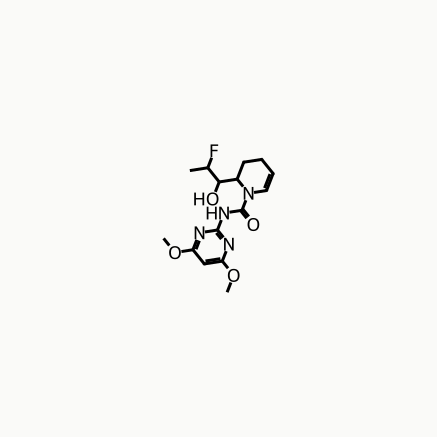 COc1cc(OC)nc(NC(=O)N2C=CCCC2C(O)C(C)F)n1